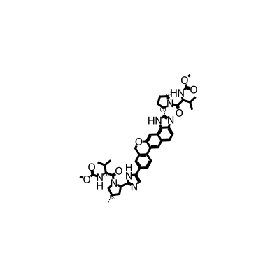 COC(=O)NC(C(=O)N1[C@@H](C)CC[C@H]1c1nc2ccc3cc4c(cc3c2[nH]1)OCc1cc(-c2cnc(C3C[C@H](C)CN3C(=O)[C@@H](NC(=O)OC)C(C)C)[nH]2)ccc1-4)C(C)C